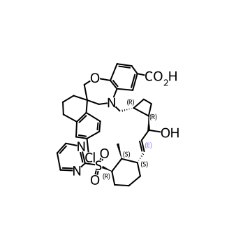 C[C@H]1[C@H](/C=C/C(O)[C@@H]2CC[C@H]2CN2CC3(CCCc4cc(Cl)ccc43)COc3ccc(C(=O)O)cc32)CCC[C@H]1S(=O)(=O)c1ncccn1